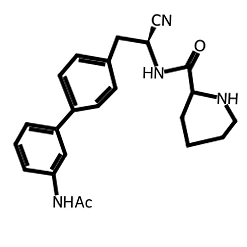 CC(=O)Nc1cccc(-c2ccc(C[C@@H](C#N)NC(=O)C3CCCCN3)cc2)c1